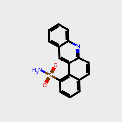 NS(=O)(=O)c1cccc2ccc3nc4ccccc4cc3c12